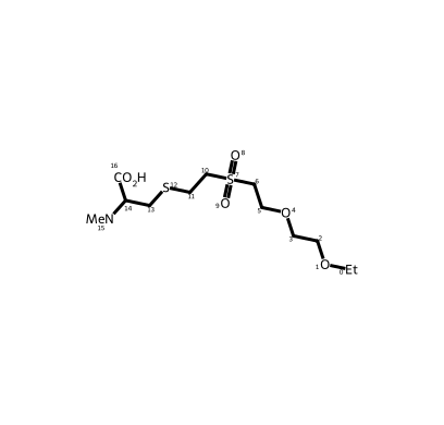 CCOCCOCCS(=O)(=O)CCSCC(NC)C(=O)O